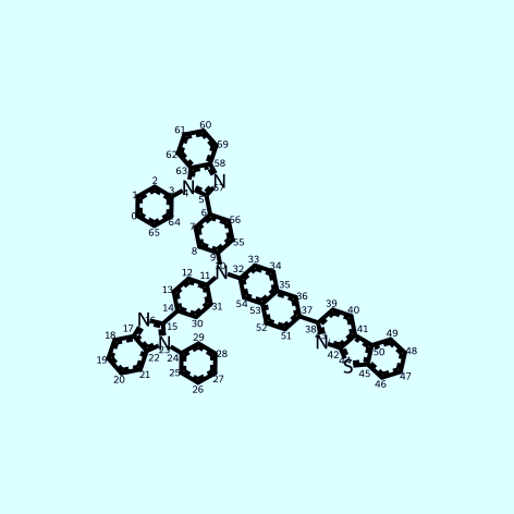 c1ccc(-n2c(-c3ccc(N(c4ccc(-c5nc6ccccc6n5-c5ccccc5)cc4)c4ccc5cc(-c6ccc7c(n6)sc6ccccc67)ccc5c4)cc3)nc3ccccc32)cc1